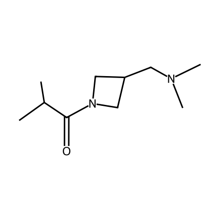 CC(C)C(=O)N1CC(CN(C)C)C1